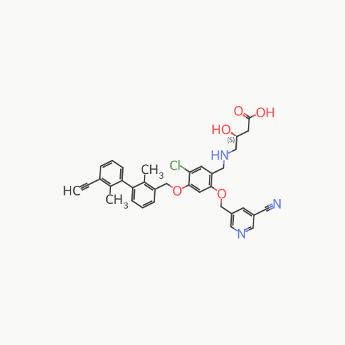 C#Cc1cccc(-c2cccc(COc3cc(OCc4cncc(C#N)c4)c(CNC[C@@H](O)CC(=O)O)cc3Cl)c2C)c1C